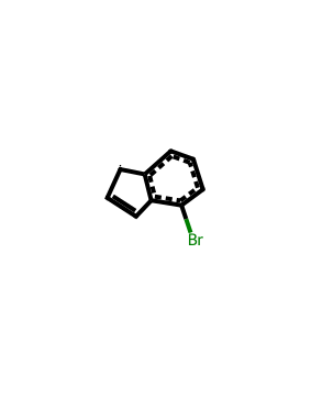 Brc1cccc2c1C=C[CH]2